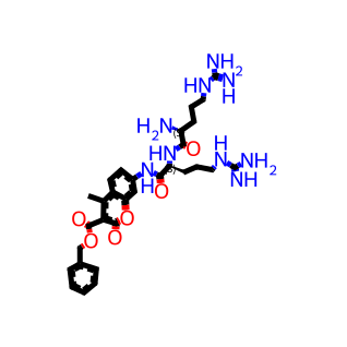 Cc1c(C(=O)OCc2ccccc2)c(=O)oc2cc(NC(=O)[C@H](CCCNC(=N)N)NC(=O)[C@@H](N)CCCNC(=N)N)ccc12